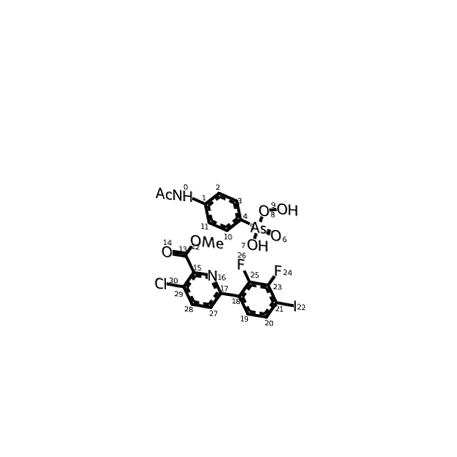 CC(=O)Nc1ccc([As](=O)(O)OO)cc1.COC(=O)c1nc(-c2ccc(I)c(F)c2F)ccc1Cl